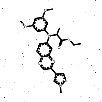 CCOC(=O)C(C)N(c1cc(OC)cc(OC)c1)c1ccc2ncc(-c3cnn(C)c3)nc2c1